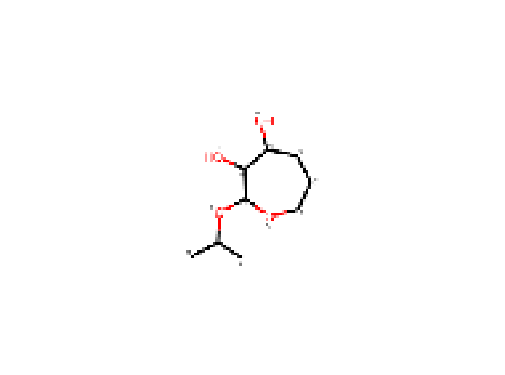 CC(C)OC1OCCCC(O)C1O